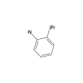 CC(C)c1ccccc1[N]